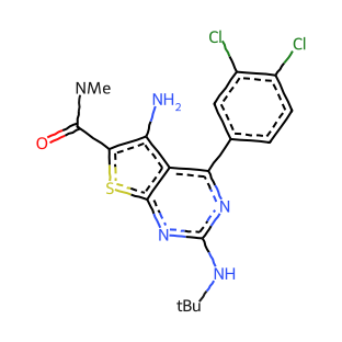 CNC(=O)c1sc2nc(NC(C)(C)C)nc(-c3ccc(Cl)c(Cl)c3)c2c1N